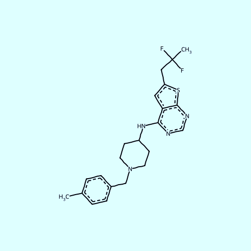 Cc1ccc(CN2CCC(Nc3ncnc4sc(CC(C)(F)F)cc34)CC2)cc1